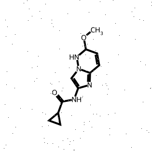 COC1C=Cc2nc(NC(=O)C3CC3)cn2N1